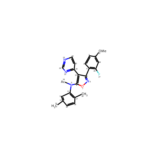 COc1ccc(-c2noc(N(C(C)=O)c3cc(C)ccc3C)c2-c2ccncn2)c(F)c1